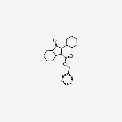 O=C1C2CCC=CC2C(C(=O)OCc2ccccc2)C1C1CCCCC1